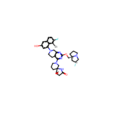 CCc1c(F)ccc2cc(O)cc(N3CCc4c(nc(OC[C@@]56CCCN5C[C@H](F)C6)nc4N4CCCC5(C4)NC(=O)CC54COC4)C3)c12